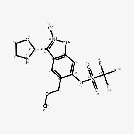 COCc1cc2c([C@@H]3NCCO3)[n+]([O-])oc2cc1OS(=O)(=O)C(F)(F)F